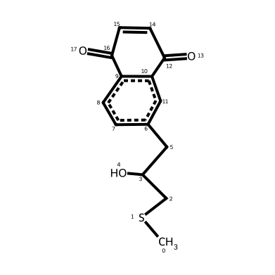 CSCC(O)Cc1ccc2c(c1)C(=O)C=CC2=O